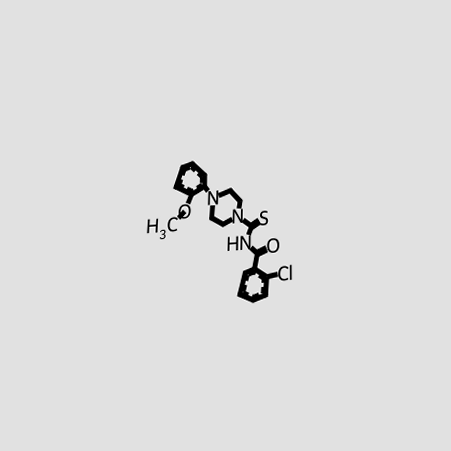 COc1ccccc1N1CCN(C(=S)NC(=O)c2ccccc2Cl)CC1